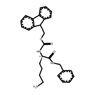 NCCCC[C@@H](NC(=O)OCC1c2ccccc2-c2ccccc21)C(=O)NCc1ccccc1